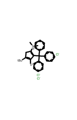 C[SiH](C)C1=C(C(c2ccccc2)(c2ccccc2)c2ccccc2)[C]([Ti+3])=C(C(C)(C)C)C1.[Cl-].[Cl-].[Cl-]